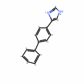 [c]1nc(-c2ccc(-c3ccccc3)cc2)c[nH]1